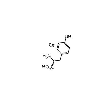 N[C@@H](Cc1ccc(O)cc1)C(=O)O.[Ce]